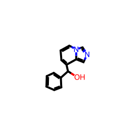 OC(c1ccccc1)c1cccn2cncc12